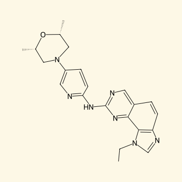 CCn1cnc2ccc3cnc(Nc4ccc(N5C[C@@H](C)O[C@@H](C)C5)cn4)nc3c21